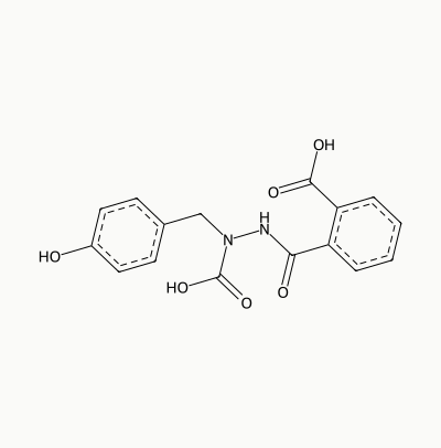 O=C(O)c1ccccc1C(=O)NN(Cc1ccc(O)cc1)C(=O)O